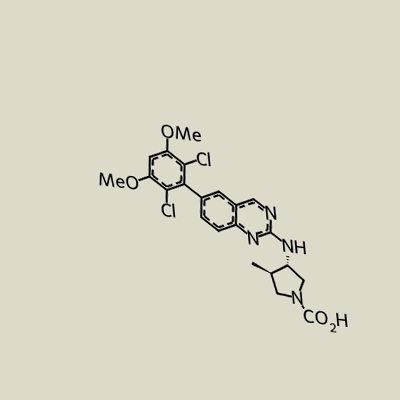 COc1cc(OC)c(Cl)c(-c2ccc3nc(N[C@@H]4CN(C(=O)O)C[C@H]4C)ncc3c2)c1Cl